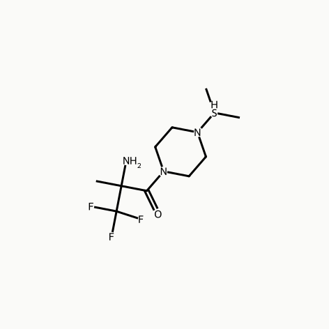 C[SH](C)N1CCN(C(=O)C(C)(N)C(F)(F)F)CC1